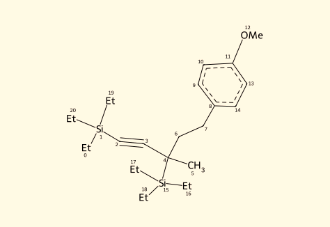 CC[Si](C#CC(C)(CCc1ccc(OC)cc1)[Si](CC)(CC)CC)(CC)CC